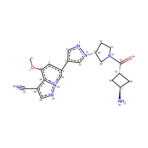 COc1cc(-c2cnn([C@@H]3CCN(C(=O)[C@H]4C[C@H](N)C4)C3)c2)cn2ncc(C#N)c12